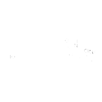 CC1(C)C2CCC(NS(=O)(=O)c3ccc(C#CCCO)cc3)C1C2